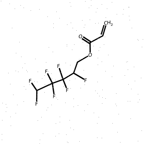 C=CC(=O)OCC(F)C(F)(F)C(F)(F)C(F)F